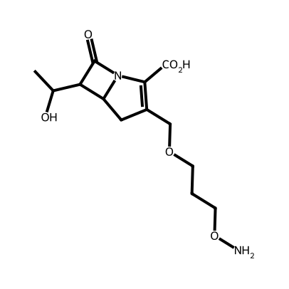 CC(O)C1C(=O)N2C(C(=O)O)=C(COCCCON)CC12